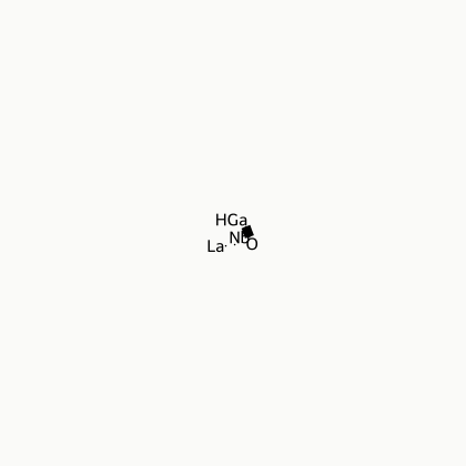 [La].[Nb].[O]=[GaH]